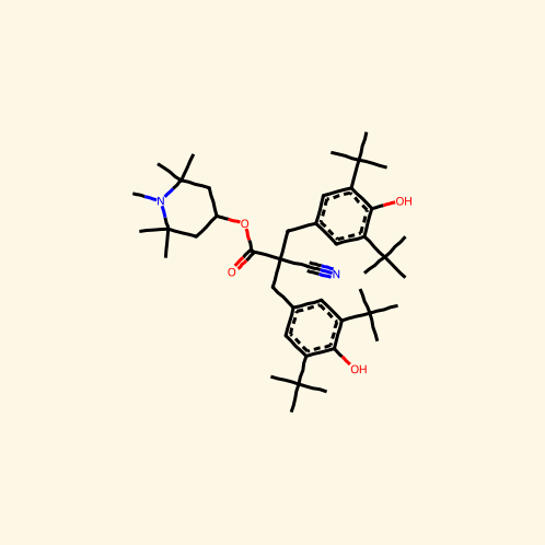 CN1C(C)(C)CC(OC(=O)C(C#N)(Cc2cc(C(C)(C)C)c(O)c(C(C)(C)C)c2)Cc2cc(C(C)(C)C)c(O)c(C(C)(C)C)c2)CC1(C)C